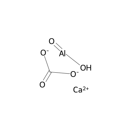 O=C([O-])[O-].[Ca+2].[O]=[Al][OH]